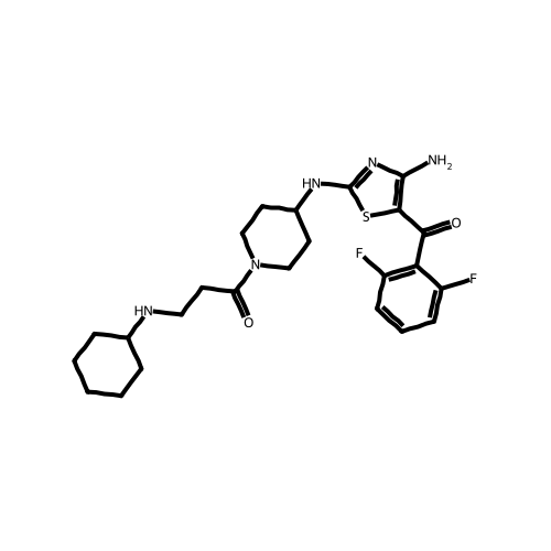 Nc1nc(NC2CCN(C(=O)CCNC3CCCCC3)CC2)sc1C(=O)c1c(F)cccc1F